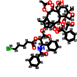 CC(=O)O[C@H]1C(=O)[C@@]2(C)C(C(OC(=O)c3ccccc3)[C@]3(O)CC(OC(=O)C(OC(=O)CCCCBr)C(NC(=O)c4ccccc4)c4ccccc4)C(C)=C1C3(C)C)[C@]1(OC(C)=O)CO[C@@H]1C[C@@H]2O